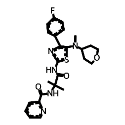 CN(c1sc(NC(=O)C(C)(C)NC(=O)c2ccccn2)nc1-c1ccc(F)cc1)C1CCOCC1